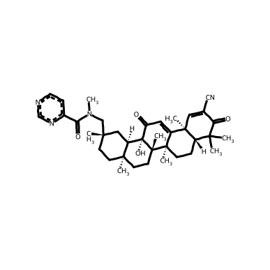 CN(C[C@@]1(C)CC[C@]2(C)CC[C@@]3(C)[C@]4(C)CC[C@H]5C(C)(C)C(=O)C(C#N)=C[C@]5(C)C4=CC(=O)[C@]3(O)[C@@H]2C1)C(=O)c1ccncn1